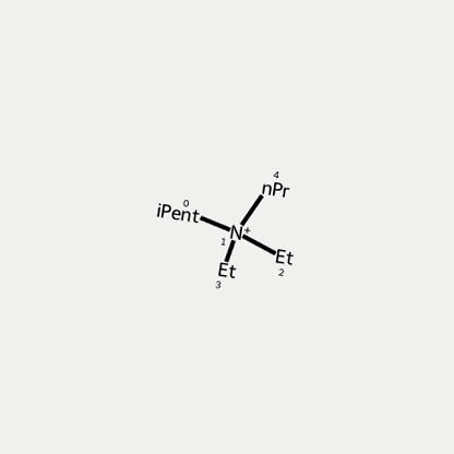 CCCC(C)[N+](CC)(CC)CCC